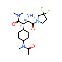 CC(=O)N(C)C1CCC([C@H](C(=O)N(C)C)[C@H](N)C(=O)N2CCC(F)(F)C2)CC1